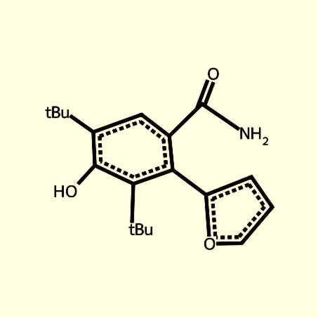 CC(C)(C)c1cc(C(N)=O)c(-c2ccco2)c(C(C)(C)C)c1O